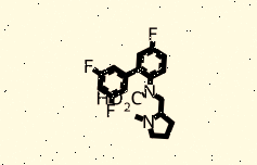 CN1CCCC1CN(C(=O)O)c1ccc(F)cc1-c1cc(F)cc(F)c1